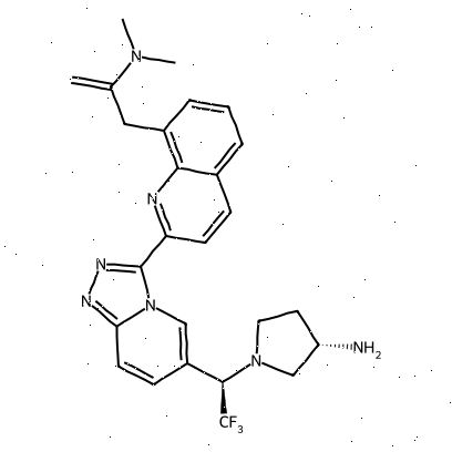 C=C(Cc1cccc2ccc(-c3nnc4ccc([C@@H](N5CC[C@H](N)C5)C(F)(F)F)cn34)nc12)N(C)C